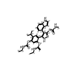 C=C(NCC)Oc1cc(OC(=O)NCC)c(C(C)C)cc1-c1[nH]nc(SC(=O)NC)c1-c1cccc2[nH]ccc12